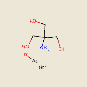 CC(=O)[O-].NC(CO)(CO)CO.[Na+]